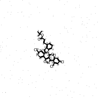 CC(C)(C)OC(=O)/C=C/c1cccc2c1ccn2C(=O)c1c(-c2c(Cl)cc(Cl)cc2Cl)noc1-c1ccc(Cl)nc1